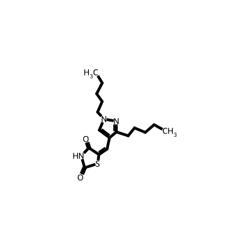 CCCCCc1nn(CCCCC)cc1C=C1SC(=O)NC1=O